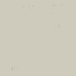 CCCCCCCCOc1cc(CC23C=CCc4c(C)ccc(c42)-c2ccc(C)cc23)cc(OCCCCCCCC)c1